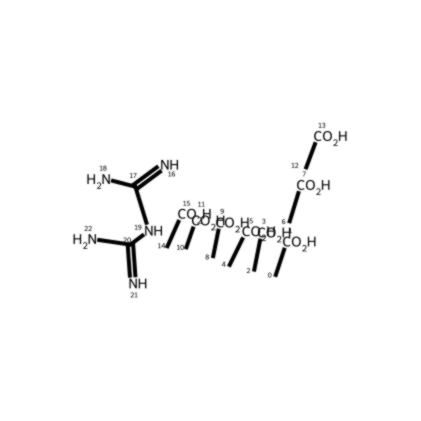 CC(=O)O.CC(=O)O.CC(=O)O.CC(=O)O.CC(=O)O.CC(=O)O.CC(=O)O.CC(=O)O.N=C(N)NC(=N)N